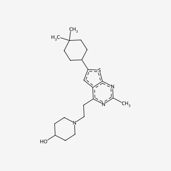 Cc1nc(CCN2CCC(O)CC2)c2cc(C3CCC(C)(C)CC3)sc2n1